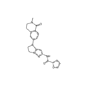 CN1CCc2cc(N3CCn4nc(NC(=O)c5ccco5)cc43)ccc2C1=O